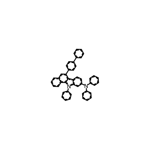 c1ccc(-c2ccc(-c3cc4ccccc4c4c3c3ccc(N(c5ccccc5)c5ccccc5)cc3n4-c3ccccc3)cc2)cc1